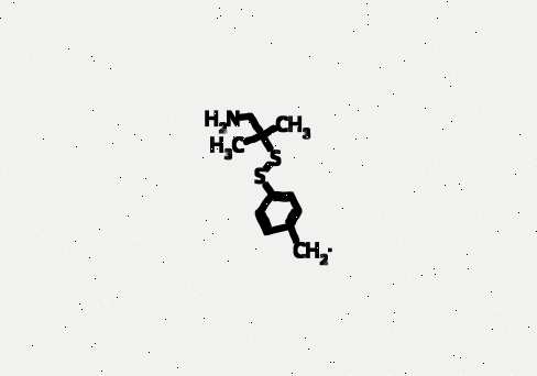 [CH2]c1ccc(SSC(C)(C)CN)cc1